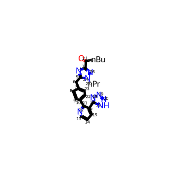 CCCCC(=O)c1nc(Cc2ccc(-c3ncccc3-c3nnn[nH]3)cc2)n(CCC)n1